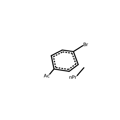 CC(=O)c1ccc(Br)cc1.CCCC